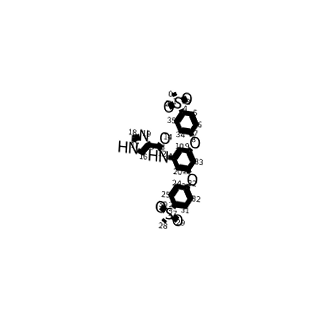 CS(=O)(=O)c1ccc(Oc2cc(NC(=O)c3c[nH]cn3)cc(Oc3ccc(S(C)(=O)=O)cc3)c2)cc1